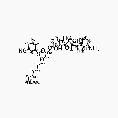 C=NC[C@]1(COP(=O)(O)OC[C@H](COCCCCCCCCCCCCCCCC)OCc2cc(F)cc(C#N)c2)OC[C@](O)(c2ccc3c(N)ncnn23)[C@@H]1O